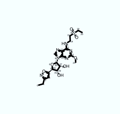 CCc1cc([C@H]2O[C@@H](n3cnc4c(NCCS(=O)(=O)CC)nc(OC)nc43)[C@H](O)[C@@H]2O)on1